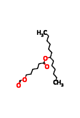 CCCCCCC(CCCCCC)OC(=O)CCCCCOC=O